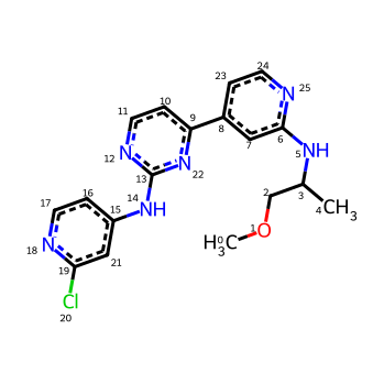 COCC(C)Nc1cc(-c2ccnc(Nc3ccnc(Cl)c3)n2)ccn1